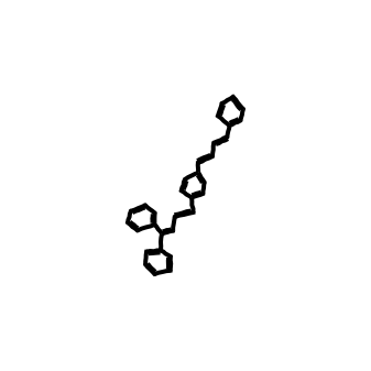 C(C=Cc1ccc(C=CC=C(c2ccccc2)c2ccccc2)cc1)=Cc1ccccc1